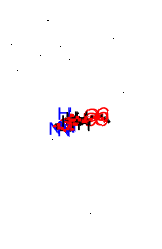 C=C(C)[C@@H]1CC[C@]2(C(=O)N3CCC[C@H]3c3ncc(-c4cccnc4)[nH]3)CC[C@]3(C)[C@H](CC[C@@H]4[C@@]5(C)CC[C@H](OC(=O)C6CC(C(=O)OCCCC)C6(C)C)C(C)(C)[C@@H]5CC[C@]43C)[C@@H]12